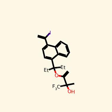 C=C(I)c1ccc(C(CC)(CC)OC(=C)C(C)(O)C(F)(F)F)c2ccccc12